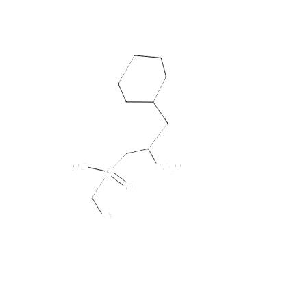 CC(C)CP(=O)(O)CC(CC1CCCCC1)C(=O)O